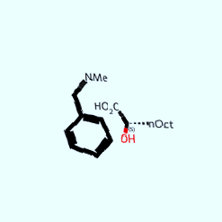 CCCCCCCC[C@H](O)C(=O)O.CNCc1ccccc1